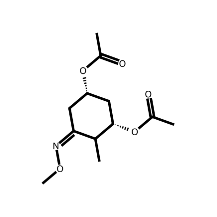 CO/N=C1/C[C@H](OC(C)=O)C[C@H](OC(C)=O)C1C